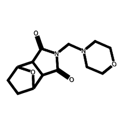 O=C1C2C3CCC(O3)C2C(=O)N1CN1CCOCC1